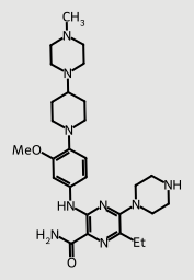 CCc1nc(C(N)=O)c(Nc2ccc(N3CCC(N4CCN(C)CC4)CC3)c(OC)c2)nc1N1CCNCC1